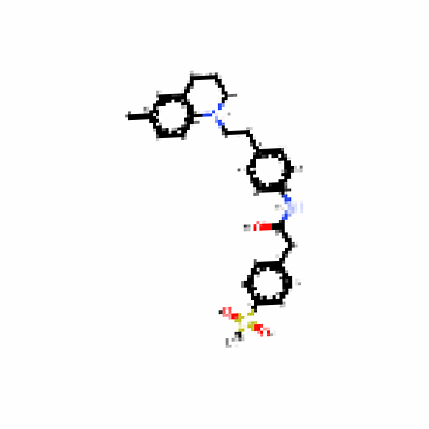 CCS(=O)(=O)c1ccc(CC(=O)Nc2ccc(CCN3CCCc4cc(C)ccc43)cc2)cc1